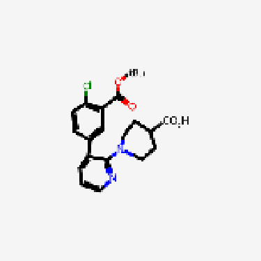 CC(C)(C)OC(=O)c1cc(-c2cccnc2N2CCC(C(=O)O)CC2)ccc1Cl